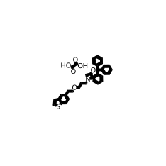 O=C(O)C(=O)O.c1ccc(C(OC2CN(CCCOCCc3ccc4sccc4c3)C2)(c2ccccc2)c2ccccc2)cc1